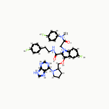 CCN(C(=O)Cn1c(C(=O)NCCc2ccc(F)cc2)c(OCC2CCCN2c2ncnc3[nH]cnc23)c2cc(F)ccc21)c1ccc(F)cc1